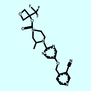 CC1CN(C(=O)OC2(C(F)(F)F)COC2)CCN1c1ncc(OCc2ccncc2C#N)cn1